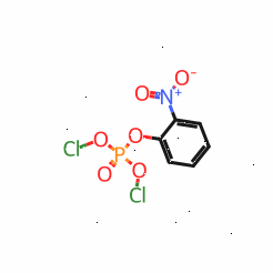 O=[N+]([O-])c1ccccc1OP(=O)(OCl)OCl